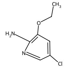 CCOc1cc(Cl)cnc1N